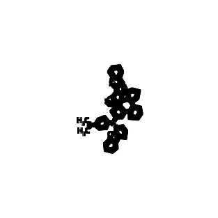 CC(C)c1ccc(N(c2ccc3c(c2)-c2ccccc2-c2ccccc2C32c3ccccc3-c3c2ccc2c3sc3ccccc32)c2cccc3c2oc2ccccc23)cc1